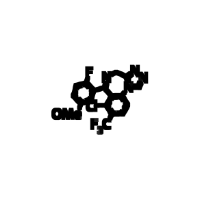 COc1ccc(F)c(C2=NCc3nncn3-c3ccc(C(F)(F)F)c(Cl)c32)c1